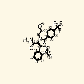 COCCN1C(C(N)=O)=C(c2ccccc2[N+](=O)[O-])OC1c1ccc(C(F)(F)F)cc1